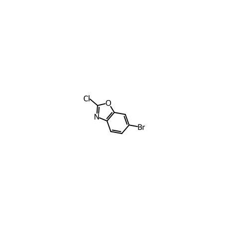 Clc1nc2ccc(Br)cc2o1